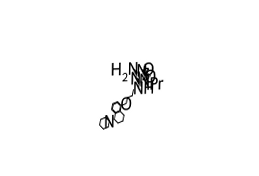 CC(C)N1C(NCCCOc2cccc3c2CCCC3N2CCCCC2)=NC(N)=NS1(=O)=O